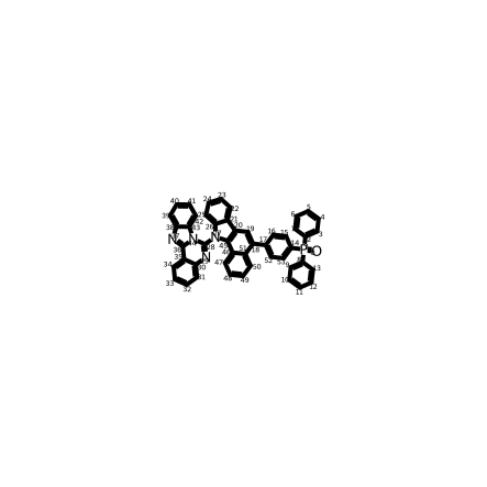 O=P(c1ccccc1)(c1ccccc1)c1ccc(-c2cc3c4ccccc4n(-c4nc5ccccc5c5nc6ccccc6n45)c3c3ccccc23)cc1